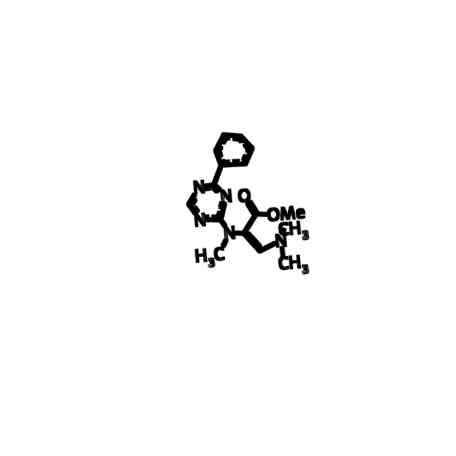 COC(=O)C(=CN(C)C)N(C)c1ncnc(-c2ccccc2)n1